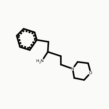 NC(CCN1CCOCC1)Cc1ccccc1